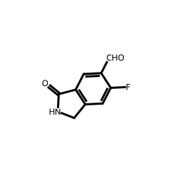 O=Cc1cc2c(cc1F)CNC2=O